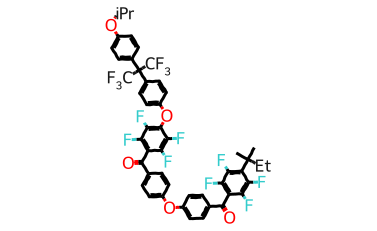 CCC(C)(C)c1c(F)c(F)c(C(=O)c2ccc(Oc3ccc(C(=O)c4c(F)c(F)c(Oc5ccc(C(c6ccc(OC(C)C)cc6)(C(F)(F)F)C(F)(F)F)cc5)c(F)c4F)cc3)cc2)c(F)c1F